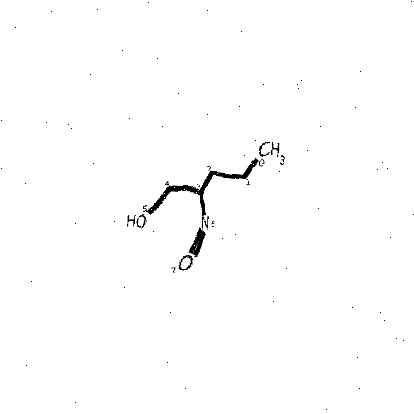 CCCC(CO)N=O